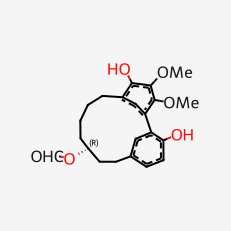 COc1c2cc(c(O)c1OC)CCCC[C@@H](OC=O)CCc1ccc(O)c-2c1